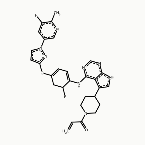 C=CC(=O)N1CCC(c2c[nH]c3ncnc(NC4=CC=C(Oc5ccn(-c6cnc(C)c(F)c6)n5)CC4F)c23)CC1